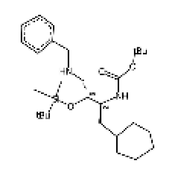 CC(C)(C)OC(=O)N[C@@H](CC1CCCCC1)[C@@H](CNCc1ccccc1)O[Si](C)(C)C(C)(C)C